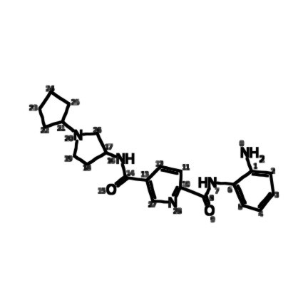 Nc1ccccc1NC(=O)c1ccc(C(=O)NC2CCN(C3CCCC3)C2)cn1